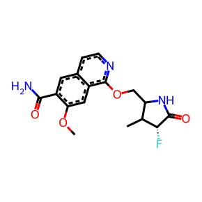 COc1cc2c(OCC3NC(=O)[C@H](F)C3C)nccc2cc1C(N)=O